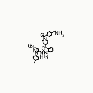 Cc1ccc(-n2nc(C(C)(C)C)cc2NC(=O)Nc2ccccc2CC2CCN(C(=O)c3ccc(CN)cc3)CC2)cc1